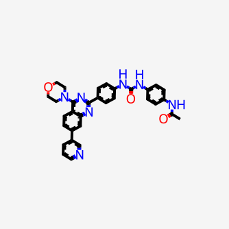 CC(=O)Nc1ccc(NC(=O)Nc2ccc(-c3nc(N4CCOCC4)c4ccc(-c5cccnc5)cc4n3)cc2)cc1